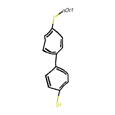 CCCCCCCCSc1ccc(-c2ccc(S)cc2)cc1